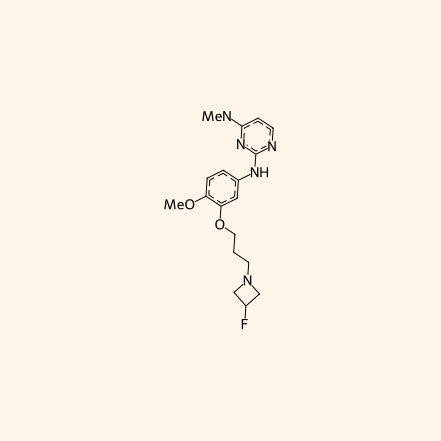 CNc1ccnc(Nc2ccc(OC)c(OCCCN3CC(F)C3)c2)n1